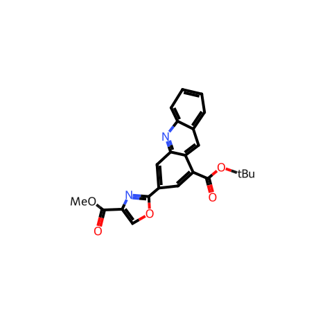 COC(=O)c1coc(-c2cc(C(=O)OC(C)(C)C)c3cc4ccccc4nc3c2)n1